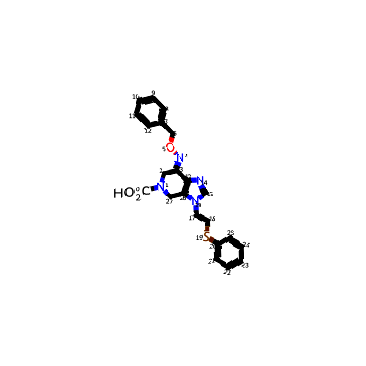 O=C(O)N1CC(=NOCc2ccccc2)c2ncn(CCSc3ccccc3)c2C1